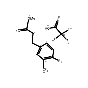 COC(=O)CCc1ccc(F)c(C(F)(F)F)c1.O=C(O)C(F)(F)F